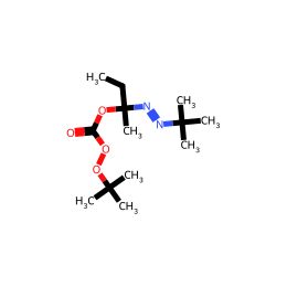 CCC(C)(/N=N/C(C)(C)C)OC(=O)OOC(C)(C)C